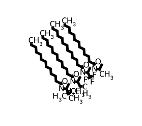 CCCCCCCCCCCCC1=NC(C(C)(C)C)CO1.CCCCCCCCCCCCC1=NC(C(C)C)CO1.CCCCCCCCCCCCC1=NC(C(F)(F)F)CO1.CCCCCCCCCCCCC1=NC(C)CO1